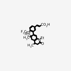 CCN1C(=O)CC(C)C2=C1C=C(c1cc(C=CC(=O)O)ccc1OC(F)(F)F)C(C)(C)C2